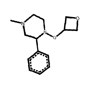 CN1CCN(OC2COC2)C(c2ccccc2)C1